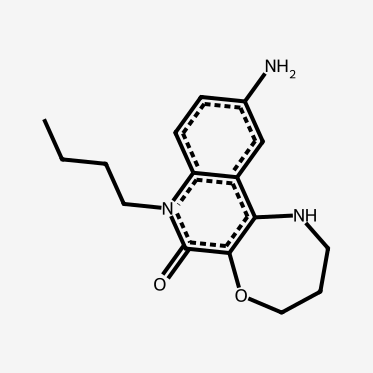 CCCCn1c(=O)c2c(c3cc(N)ccc31)NCCCO2